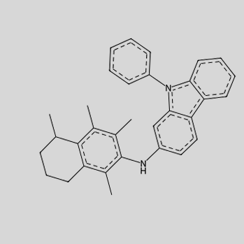 Cc1c(C)c2c(c(C)c1Nc1ccc3c4ccccc4n(-c4ccccc4)c3c1)CCCC2C